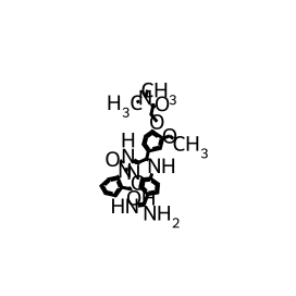 COc1cc(C(Nc2ccc(C(=N)N)cc2)c2nn(-c3ccccc3C(=O)O)c(=O)[nH]2)ccc1OCC(=O)N(C)C